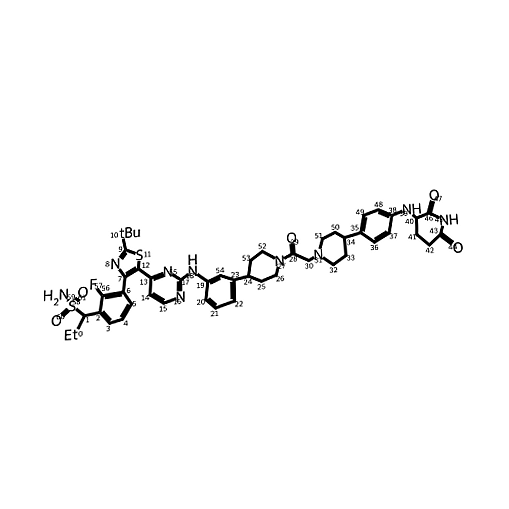 CCC(c1cccc(-c2nc(C(C)(C)C)sc2-c2ccnc(Nc3cccc(C4CCN(C(=O)CN5CCC(c6ccc(NC7CCC(=O)NC7=O)cc6)CC5)CC4)c3)n2)c1F)S(N)(=O)=O